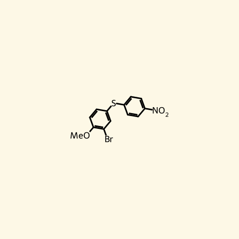 COc1ccc(Sc2ccc([N+](=O)[O-])cc2)cc1Br